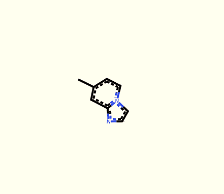 Cc1ccn2c[c]nc2c1